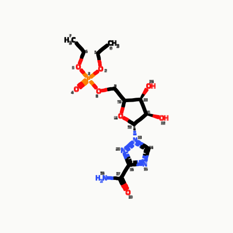 CCOP(=O)(OCC)OCC1O[C@@H](n2cnc(C(N)=O)n2)[C@H](O)[C@@H]1O